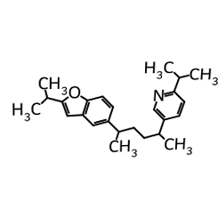 CC(C)c1ccc(C(C)CCC(C)c2ccc3oc(C(C)C)cc3c2)cn1